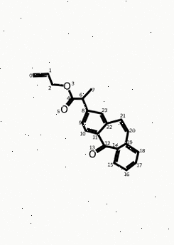 C=CCOC(=O)C(C)c1ccc2c(=O)c3ccccc3ccc2c1